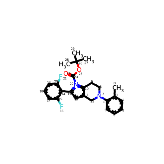 Cc1ccccc1N1CCc2c(cc(-c3c(F)cccc3F)n2C(=O)OC(C)(C)C)C1